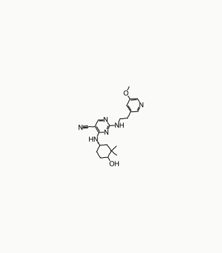 COc1cncc(CCNc2ncc(C#N)c(N[C@@H]3CCC(O)C(C)(C)C3)n2)c1